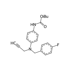 C#CCN(Cc1ccc(F)cc1)c1ccc(NC(=O)OCC(C)C)cc1